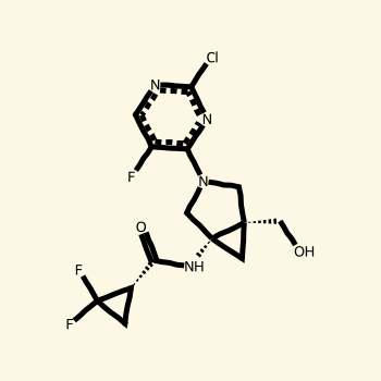 O=C(N[C@]12CN(c3nc(Cl)ncc3F)C[C@@]1(CO)C2)[C@@H]1CC1(F)F